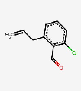 C=CCc1cccc(Cl)c1C=O